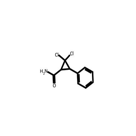 NC(=O)C1C(c2ccccc2)C1(Cl)Cl